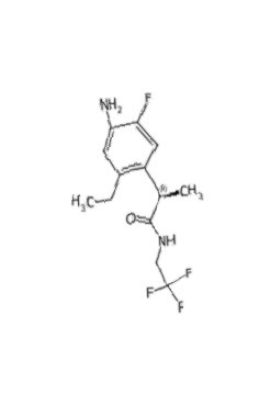 CCc1cc(N)c(F)cc1[C@@H](C)C(=O)NCC(F)(F)F